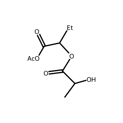 CCC(OC(=O)C(C)O)C(=O)OC(C)=O